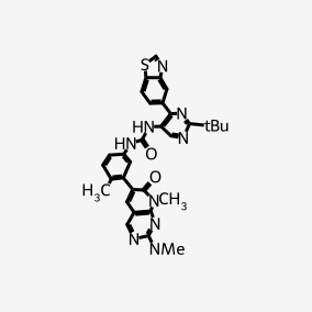 CNc1ncc2cc(-c3cc(NC(=O)Nc4cnc(C(C)(C)C)nc4-c4ccc5scnc5c4)ccc3C)c(=O)n(C)c2n1